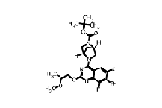 CO[C@@H](C)COc1nc(N2C[C@@H]3C[C@H]2CN3C(=O)OC(C)(C)C)c2cc(Cl)c(Br)c(F)c2n1